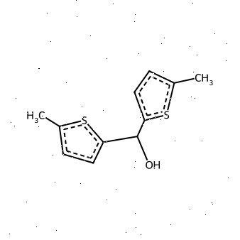 Cc1ccc(C(O)c2ccc(C)s2)s1